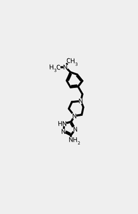 CN(C)c1ccc(CN2CCN(c3nc(N)n[nH]3)CC2)cc1